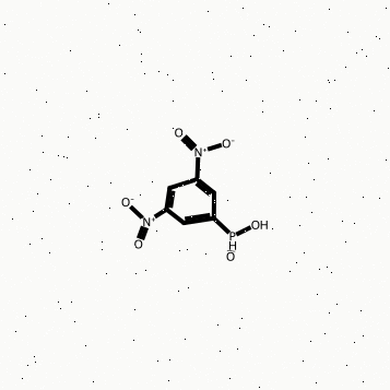 O=[N+]([O-])c1cc([N+](=O)[O-])cc([PH](=O)O)c1